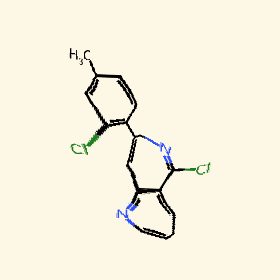 Cc1ccc(-c2cc3ncccc3c(Cl)n2)c(Cl)c1